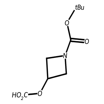 CC(C)(C)OC(=O)N1CC(OC(=O)O)C1